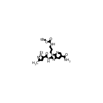 CCn1nc(C)cc1C(=O)Nc1nc2cc(C(N)=O)cnc2n1CCCNC(=O)OC(C)(C)C